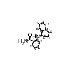 NC(=O)c1ccccc1Nc1cccc2ccccc12